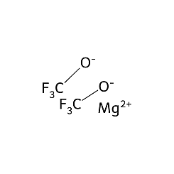 [Mg+2].[O-]C(F)(F)F.[O-]C(F)(F)F